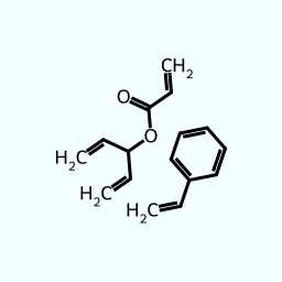 C=CC(=O)OC(C=C)C=C.C=Cc1ccccc1